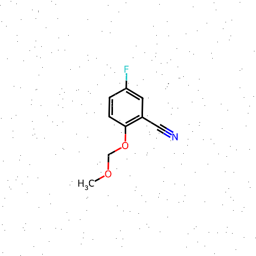 COCOc1ccc(F)cc1C#N